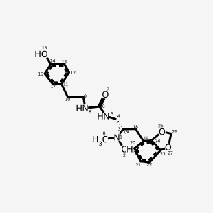 CN(C)[C@H](CNC(=O)NCCc1ccc(O)cc1)Cc1cccc2c1OCO2